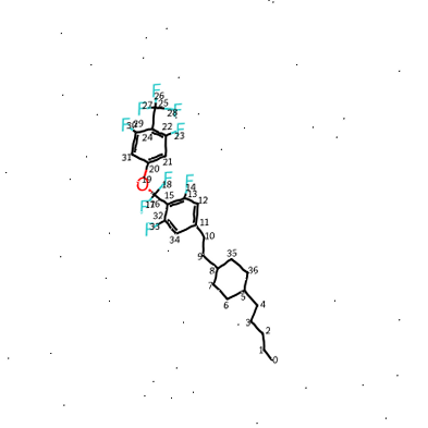 CCCCCC1CCC(CCc2cc(F)c(C(F)(F)Oc3cc(F)c(C(F)(F)F)c(F)c3)c(F)c2)CC1